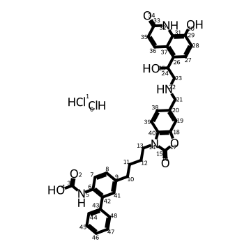 Cl.Cl.O=C(O)Nc1ccc(CCCCn2c(=O)oc3cc(CNCC(O)c4ccc(O)c5[nH]c(=O)ccc45)ccc32)cc1-c1ccccc1